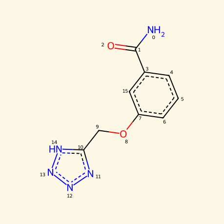 NC(=O)c1cccc(OCc2nnn[nH]2)c1